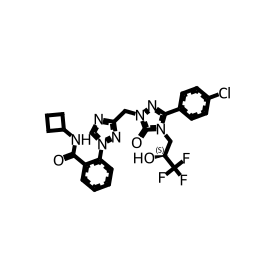 O=C(NC1CCC1)c1ccccc1-n1cnc(Cn2nc(-c3ccc(Cl)cc3)n(C[C@H](O)C(F)(F)F)c2=O)n1